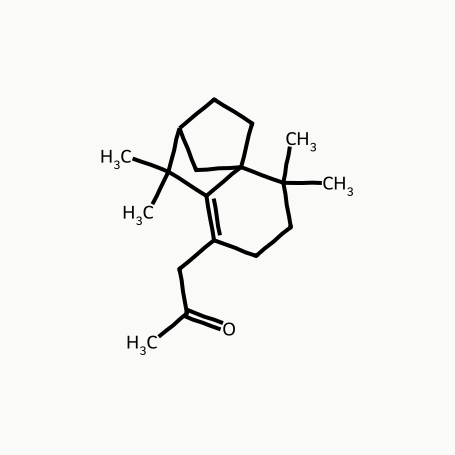 CC(=O)CC1=C2C(C)(C)C3CCC2(C3)C(C)(C)CC1